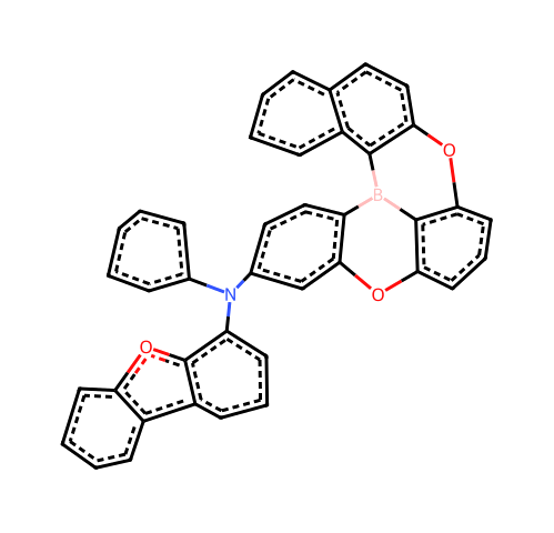 c1ccc(N(c2ccc3c(c2)Oc2cccc4c2B3c2c(ccc3ccccc23)O4)c2cccc3c2oc2ccccc23)cc1